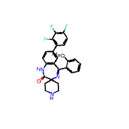 COc1ccccc1C1=NC2(CCNCC2)C(=O)Nc2ccc(-c3ccc(F)c(F)c3F)cc21